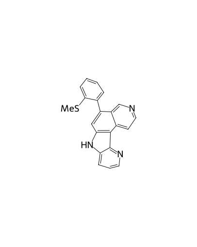 CSc1ccccc1-c1cc2[nH]c3cccnc3c2c2ccncc12